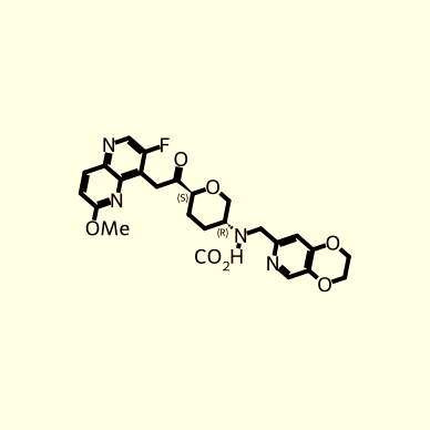 COc1ccc2ncc(F)c(CC(=O)[C@@H]3CC[C@@H](N(Cc4cc5c(cn4)OCCO5)C(=O)O)CO3)c2n1